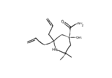 C=CCC1(CC=C)CC(O)(C(N)=O)CC(C)(C)N1